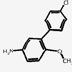 COc1ccc(N)cc1-c1ccc(Cl)cc1